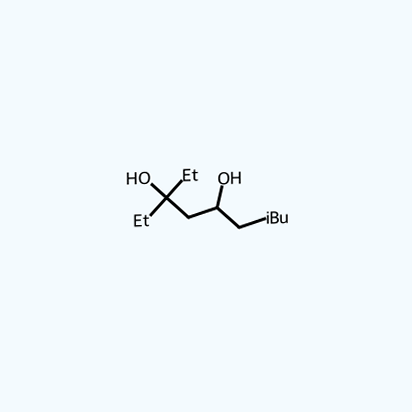 CCC(C)CC(O)CC(O)(CC)CC